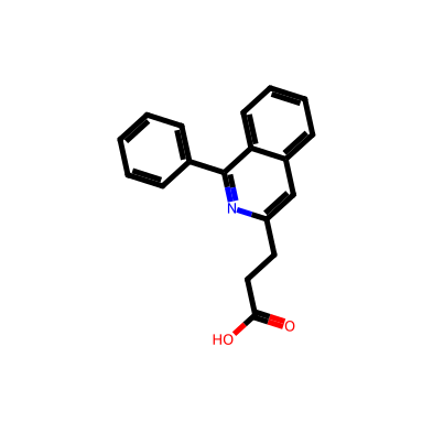 O=C(O)CCc1cc2ccccc2c(-c2ccccc2)n1